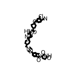 N#Cc1ccc(OC2CCC(C(=O)Nc3cnc(N4CCC(CN5CCN(c6ccc7c(c6)CN(C6CCC(=O)NC6=O)C7=O)CC5)CC4)cn3)CC2)cc1Cl